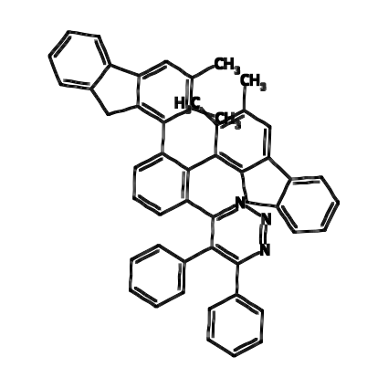 Cc1cc2c(c(-c3cccc(-c4nnnc(-c5ccccc5)c4-c4ccccc4)c3-c3c(C)c(C)cc4c3Cc3ccccc3-4)c1C)Cc1ccccc1-2